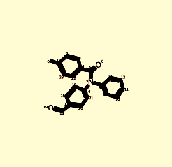 Cc1ccc(C(=O)N(c2ccccc2)c2ccc(C=O)cc2)cc1